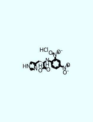 Cl.O=C(O)[C@H](Cc1c[nH]cn1)Nc1ccc([N+](=O)[O-])cc1[N+](=O)[O-]